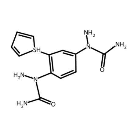 NC(=O)N(N)c1ccc(N(N)C(N)=O)c([SH]2C=CC=C2)c1